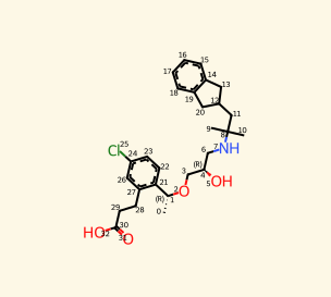 C[C@@H](OC[C@H](O)CNC(C)(C)CC1Cc2ccccc2C1)c1ccc(Cl)cc1CCC(=O)O